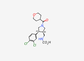 O=C(O)NC[C@@H]1CN(C(=O)C2CCOCC2)C[C@@H]1c1ccc(Cl)c(Cl)c1